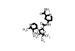 COc1c([C@H]2[C@@H](C(=O)Nc3ccnc(C(N)=O)c3)O[C@@](C)(C(F)(F)F)[C@H]2C)ccnc1C